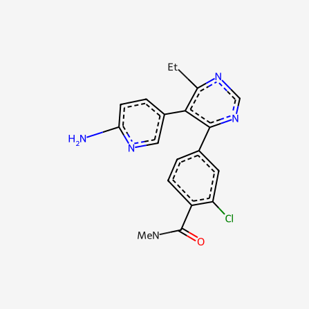 CCc1ncnc(-c2ccc(C(=O)NC)c(Cl)c2)c1-c1ccc(N)nc1